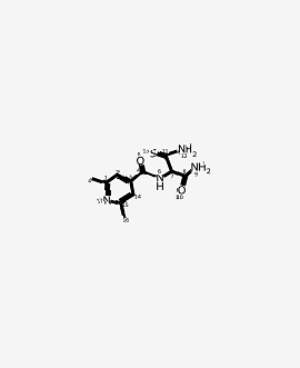 Cc1cc(C(=O)NC(C(N)=O)C(N)=S)cc(C)n1